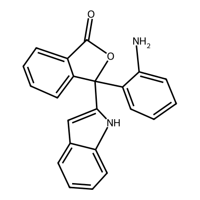 Nc1ccccc1C1(c2cc3ccccc3[nH]2)OC(=O)c2ccccc21